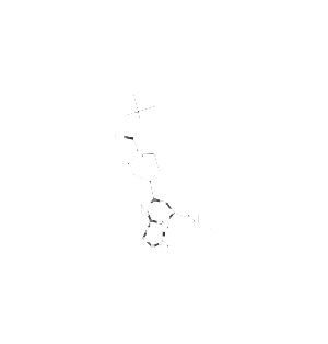 CC(C)(C)OC(=O)N1CCC(c2cc(N)n3nccc3n2)CC1